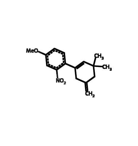 C=C1CC(c2ccc(OC)cc2[N+](=O)[O-])=CC(C)(C)C1